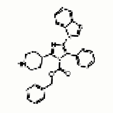 O=C(OCc1ccccc1)n1c(C2CCNCC2)nc(-n2cnc3ccccc32)c1-c1ccccc1